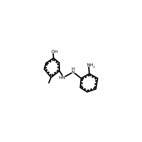 Cc1ccc(O)cc1NNc1ccccc1N